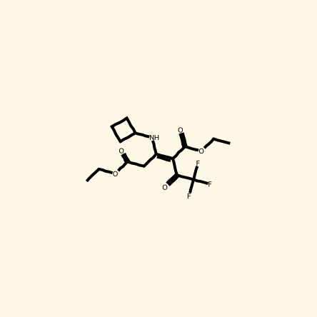 CCOC(=O)C/C(NC1CCC1)=C(/C(=O)OCC)C(=O)C(F)(F)F